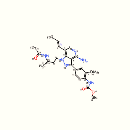 CCC/C=C/c1cnc(N)c2c(-c3ccc(NC(=O)OC(C)(C)C)c(OC)c3)nn(CC[C@@H](C)NC(=O)CCC)c12